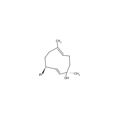 C/C1=C\CC[C@@](C)(O)/C=C/[C@@H](C(C)C)CC1